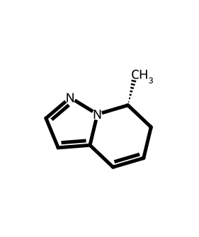 C[C@@H]1CC=Cc2ccnn21